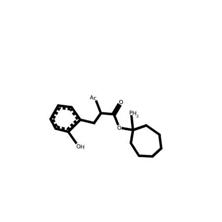 CC(=O)C(Cc1ccccc1O)C(=O)OC1(P)CCCCCC1